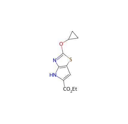 CCOC(=O)c1cc2sc(OC3CC3)nc2[nH]1